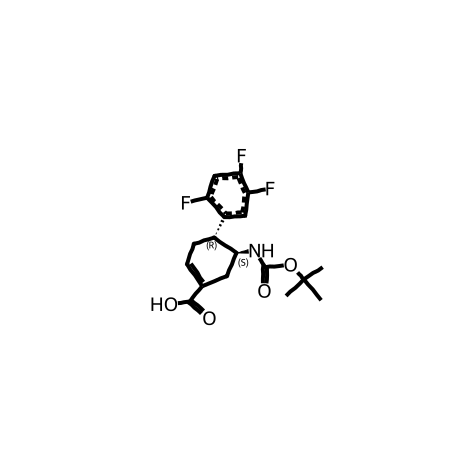 CC(C)(C)OC(=O)N[C@H]1CC(C(=O)O)=CC[C@@H]1c1cc(F)c(F)cc1F